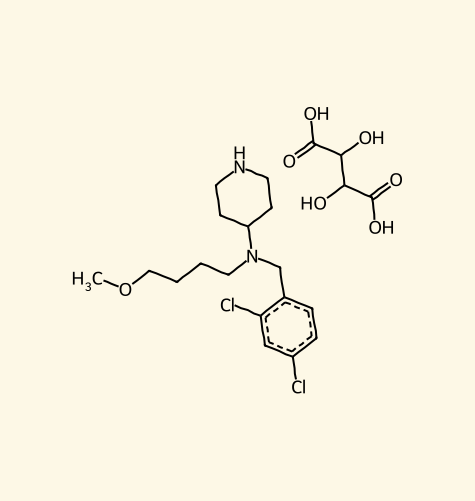 COCCCCN(Cc1ccc(Cl)cc1Cl)C1CCNCC1.O=C(O)C(O)C(O)C(=O)O